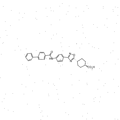 O=C(Nc1ccc(-c2noc([C@H]3CC[C@H](C(=O)O)CC3)n2)cc1)c1ccc(-c2ccccc2)cc1